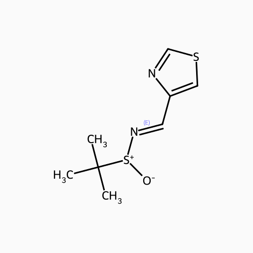 CC(C)(C)[S+]([O-])/N=C/c1cscn1